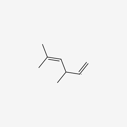 C=[C]C(C)C=C(C)C